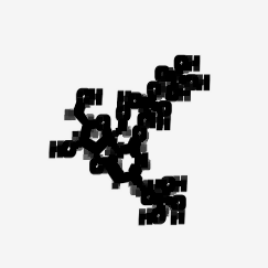 Nc1ccn([C@]2(CO)O[C@H](CO)[C@@H](O)[C@H]2O)c(=O)n1.O=P(O)(O)O.O=P(O)(O)O.O=P(O)(O)O